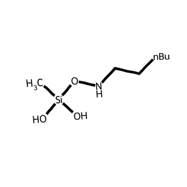 CCCCCCNO[Si](C)(O)O